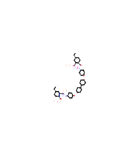 C=Cc1ccc(C(=O)Nc2ccc(Oc3ccc(-c4ccc(Oc5ccc(NC(=O)c6cc(C=C)ccc6C(=O)O)cc5)cc4)cc3)cc2)c(C(=O)O)c1